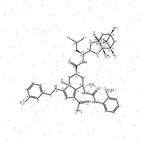 CCOC(=O)c1ccccc1NC(=O)N[C@]1(C)C[C@H](C(=O)N[C@@H](CC(F)F)B2O[C@@H]3C[C@@H]4C[C@@H](C4(C)C)[C@]3(C)O2)C[N+]2([O-])C(NCc3cccc(C(F)(F)F)c3)=CC(C(=N)N)=C12